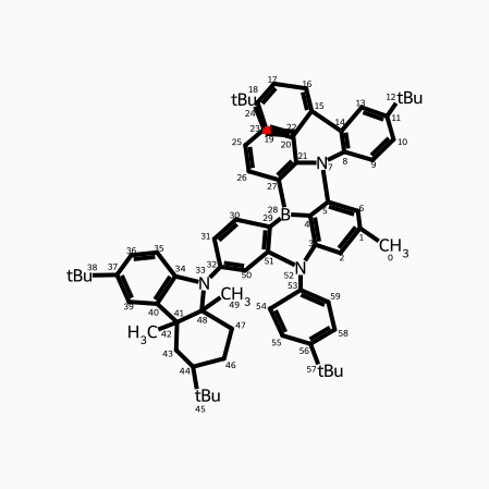 Cc1cc2c3c(c1)N(c1ccc(C(C)(C)C)cc1-c1ccccc1)c1cc(C(C)(C)C)ccc1B3c1ccc(N3c4ccc(C(C)(C)C)cc4C4(C)CC(C(C)(C)C)CCC34C)cc1N2c1ccc(C(C)(C)C)cc1